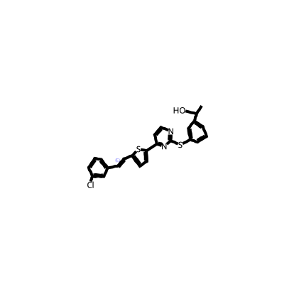 CC(O)c1cccc(Sc2nccc(-c3ccc(/C=C/c4cccc(Cl)c4)s3)n2)c1